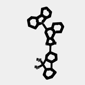 CC1(C)c2ccccc2-c2ccc(-n3nc4cc(-n5c6ccccc6c6ccccc65)c5ccccc5c4n3)cc21